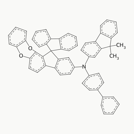 CC1(C)c2ccccc2-c2ccc(N(c3ccc(-c4ccccc4)cc3)c3ccc4c(c3)C3(c5ccccc5-c5ccccc53)c3c-4ccc4c3Oc3ccccc3O4)cc21